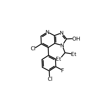 CCC(CC)n1c(O)nc2ncc(Cl)c(-c3ccc(Cl)c(F)c3)c21